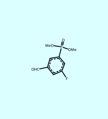 COP(=O)(OC)c1cc(F)cc(C=O)c1